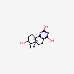 C[C@H]1C(O)CC[C@@]2(C)c3nc(O)nc(O)c3CC[C@H]12